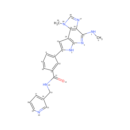 CNc1nc2[nH]c(-c3cccc(C(=O)NCc4cccnc4)c3)cc2c2c1ncn2C